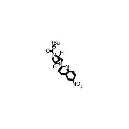 CC(C)(C)OC(=O)N1C[C@@H]2C[C@H]1CN2c1ccc2cc([N+](=O)[O-])ccc2n1